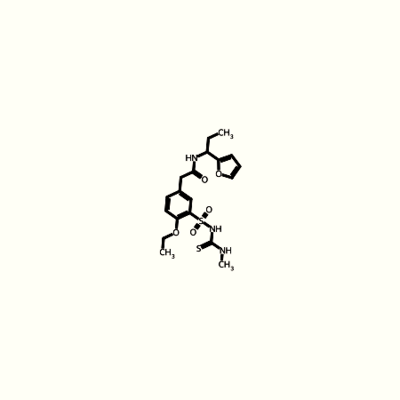 CCOc1ccc(CC(=O)NC(CC)c2ccco2)cc1S(=O)(=O)NC(=S)NC